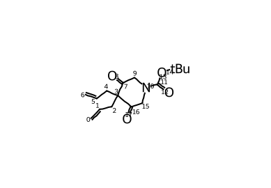 C=CCC1(CC=C)C(=O)CN(C(=O)OC(C)(C)C)CC1=O